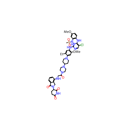 CCc1cc(Nc2ncc(Cl)c(Nc3ccc(OC)cc3NS(C)(=O)=O)n2)c(OC)cc1N1CCC(N2CCN(C(=O)CNc3cccc4c3CN(C3CCC(=O)NC3=O)C4=O)CC2)CC1